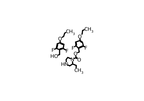 CCCOc1cc(F)c(CO)c(F)c1.CCCOc1cc(F)c(COC(=O)N2CCNCC2CC)c(F)c1